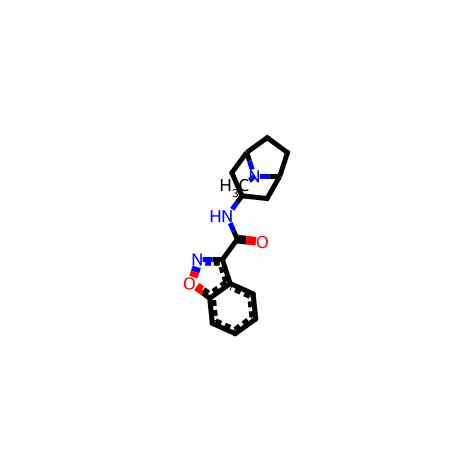 CN1C2CCC1CC(NC(=O)c1noc3ccccc13)C2